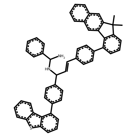 CC1(C)c2cc3ccccc3cc2-c2c(-c3ccc(/C=C/C(NC(N)c4ccccc4)c4ccc(-c5cccc6sc7ccccc7c56)cc4)cc3)cccc21